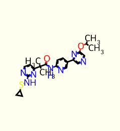 CC(C)Oc1cncc(-c2ccc(NC(=O)C(C)(C)c3ccnc(NSC4CC4)n3)nc2)n1